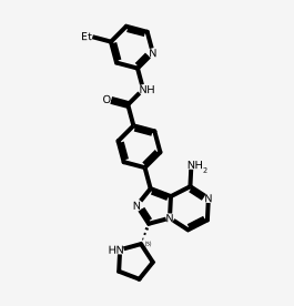 CCc1ccnc(NC(=O)c2ccc(-c3nc([C@@H]4CCCN4)n4ccnc(N)c34)cc2)c1